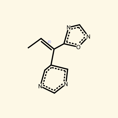 C/C=C(\c1cncnc1)c1ncno1